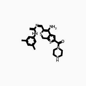 C=C(/N=C\C1=C(N)c2cc(C(=O)N3CCNCC3)sc2CS1)Nc1cc(C)cc(C)c1